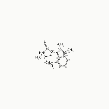 CC1(C)COC(=O)N1.Cc1nc2c(C)cccn2c1C